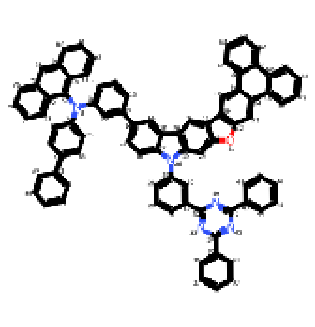 c1ccc(-c2ccc(N(c3cccc(-c4ccc5c(c4)c4cc6c(cc4n5-c4cccc(-c5nc(-c7ccccc7)nc(-c7ccccc7)n5)c4)oc4cc5c7ccccc7c7ccccc7c5cc46)c3)c3c4ccccc4cc4ccccc34)cc2)cc1